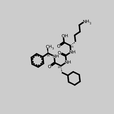 C[C@@H](NC(=O)[C@@H](CC1CCCCC1)NC(=O)N[C@@H](CCCCN)C(=O)O)c1ccccc1